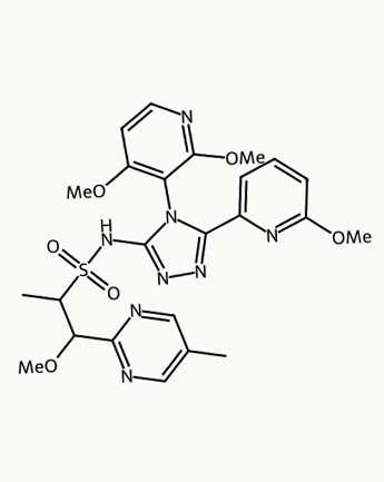 COc1cccc(-c2nnc(NS(=O)(=O)C(C)C(OC)c3ncc(C)cn3)n2-c2c(OC)ccnc2OC)n1